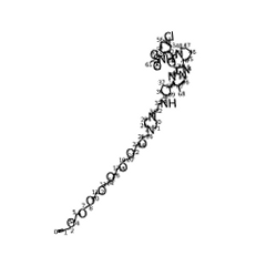 C#CCOCCOCCOCCOCCOCCOCCOCCOCCN1CCN(CCCN[C@H]2CCC(c3nc4cc([C@@H]5CCCCN5C(=O)c5cc(Cl)ccc5NS(C)(=O)=O)nn4cc3C)C2)CC1